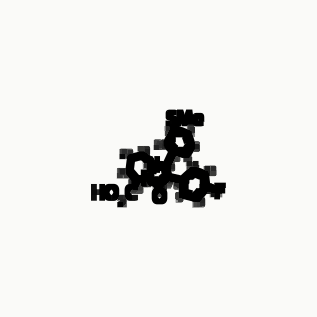 CSc1cccc(-c2c(-c3ccc(F)cc3)c(=O)n3n2CCCC3C(=O)O)c1